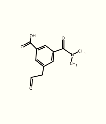 CN(C)C(=O)c1cc(CC=O)cc(C(=O)O)c1